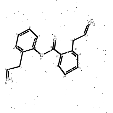 C=CCc1ccccc1OC(=O)c1ccccc1CC=C